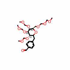 COCOCOC[C@H]1OC(Cc2ccc(C=O)cc2)[C@H](OCOC)[C@@H](OCOC)[C@@H]1OCOC